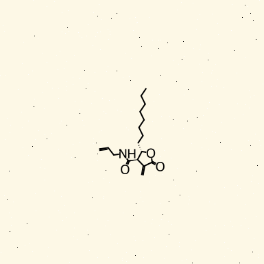 C=CCNC(=O)[C@@H]1C(=C)C(=O)O[C@H]1CCCCCCCC